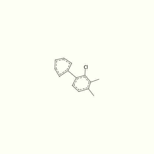 Cc1ccc(-c2ccccc2)c(Cl)c1C